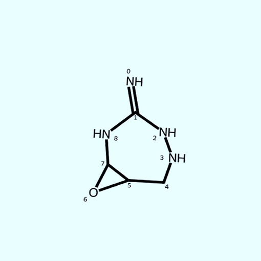 N=C1NNCC2OC2N1